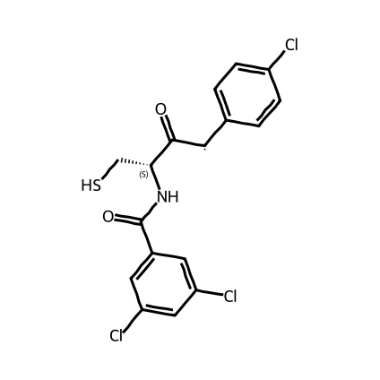 O=C(N[C@H](CS)C(=O)[CH]c1ccc(Cl)cc1)c1cc(Cl)cc(Cl)c1